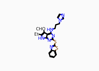 CCc1[nH]c2nc(Sc3nc4ccccc4s3)nc(NCCCn3ccnc3)c2c1C=O